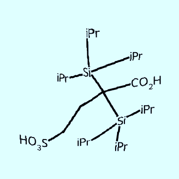 CC(C)[Si](C(C)C)(C(C)C)C(CCS(=O)(=O)O)(C(=O)O)[Si](C(C)C)(C(C)C)C(C)C